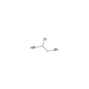 CCCC(Br)CC(C)C